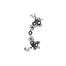 C=CCN1CC[C@]23c4c5ccc(OC(=O)OCC6CCC(COC(=O)Oc7ccc8c9c7O[C@H]7C(=O)CC[C@@]%10(O)[C@@H](C8)N(CC=C)CC[C@]97%10)CC6)c4O[C@H]2C(=O)CC[C@@]3(O)[C@H]1C5